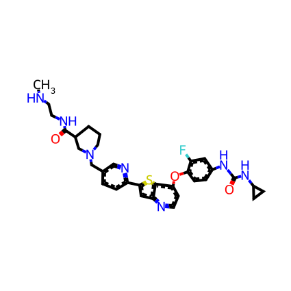 CNCCNC(=O)C1CCCN(Cc2ccc(-c3cc4nccc(Oc5ccc(NC(=O)NC6CC6)cc5F)c4s3)nc2)C1